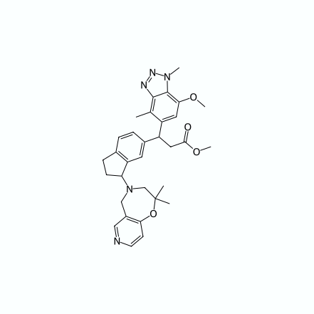 COC(=O)CC(c1ccc2c(c1)C(N1Cc3cnccc3OC(C)(C)C1)CC2)c1cc(OC)c2c(nnn2C)c1C